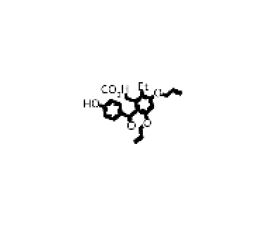 C=CCOc1cc(OCC=C)c(C(=O)c2ccc(O)cc2)c(CC(=O)O)c1CC